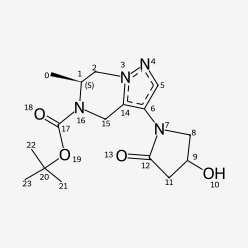 C[C@H]1Cn2ncc(N3CC(O)CC3=O)c2CN1C(=O)OC(C)(C)C